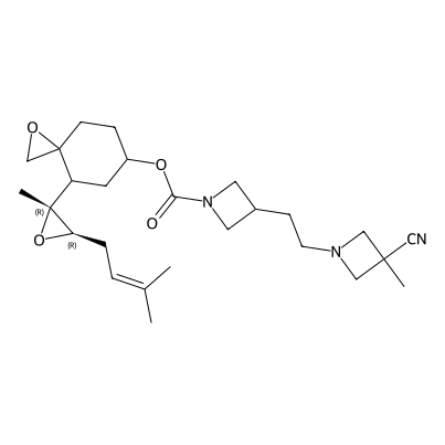 CC(C)=CC[C@H]1O[C@]1(C)C1CC(OC(=O)N2CC(CCN3CC(C)(C#N)C3)C2)CCC12CO2